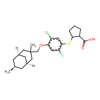 C[C@H]1C[C@@H]2C[C@H](C1)CC(C)(COc1cc(F)c(SC3CCCC3C(=O)O)cc1Cl)C2